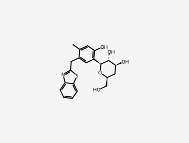 Cc1cc(O)c([C@@H]2O[C@H](CO)C[C@H](O)[C@H]2O)cc1Cc1nc2ccccc2s1